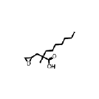 CCCCCCCC(C)(CC1CO1)C(=O)O